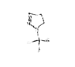 FC(F)(F)N1CCC=N1